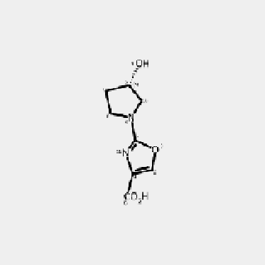 O=C(O)c1coc(N2CC[C@H](O)C2)n1